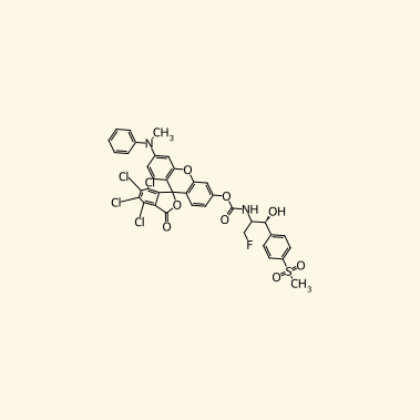 CN(c1ccccc1)c1ccc2c(c1)Oc1cc(OC(=O)NC(CF)[C@@H](O)c3ccc(S(C)(=O)=O)cc3)ccc1C21OC(=O)c2c(Cl)c(Cl)c(Cl)c(Cl)c21